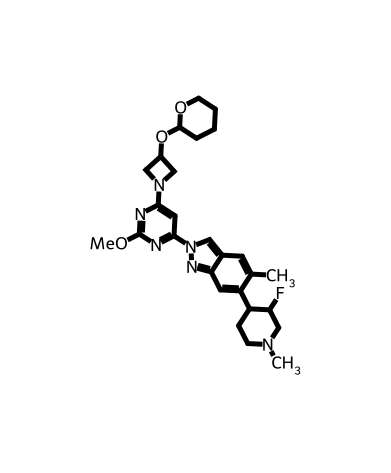 COc1nc(N2CC(OC3CCCCO3)C2)cc(-n2cc3cc(C)c(C4CCN(C)CC4F)cc3n2)n1